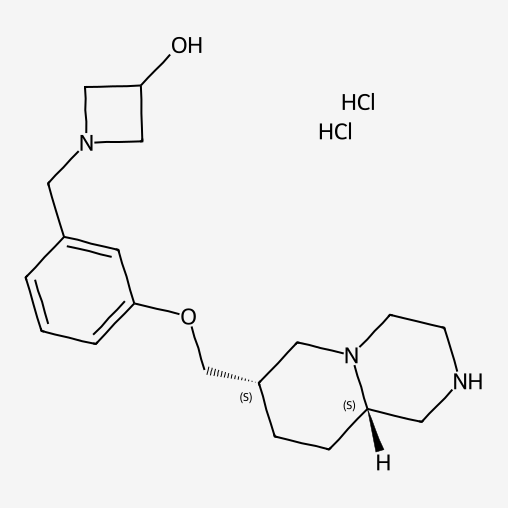 Cl.Cl.OC1CN(Cc2cccc(OC[C@H]3CC[C@H]4CNCCN4C3)c2)C1